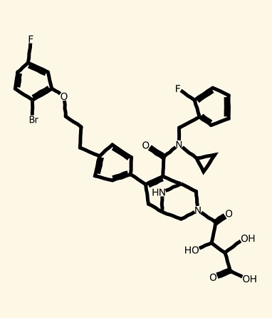 O=C(O)C(O)C(O)C(=O)N1CC2CC(c3ccc(CCCOc4cc(F)ccc4Br)cc3)=C(C(=O)N(Cc3ccccc3F)C3CC3)C(C1)N2